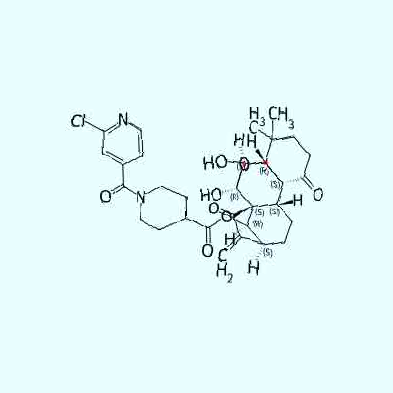 C=C1C(=O)[C@]23[C@H](OC(=O)C4CCN(C(=O)c5ccnc(Cl)c5)CC4)[C@H]1CC[C@H]2[C@@]12CO[C@@]3(O)[C@@H](O)[C@@H]1C(C)(C)CCC2=O